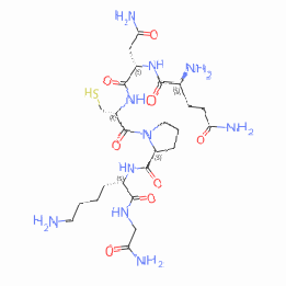 NCCCC[C@H](NC(=O)[C@@H]1CCCN1C(=O)[C@H](CS)NC(=O)[C@H](CC(N)=O)NC(=O)[C@@H](N)CCC(N)=O)C(=O)NCC(N)=O